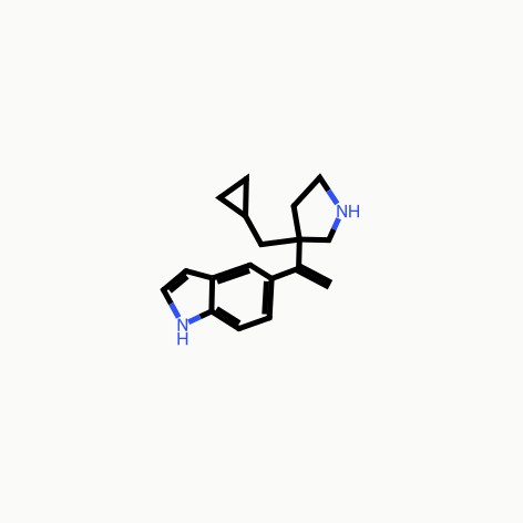 C=C(c1ccc2[nH]ccc2c1)C1(CC2CC2)CCNC1